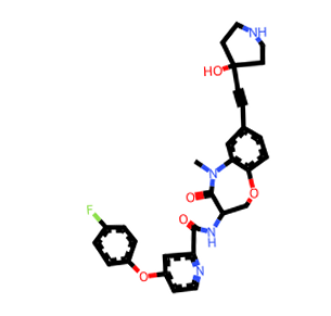 CN1C(=O)C(NC(=O)c2cc(Oc3ccc(F)cc3)ccn2)COc2ccc(C#CC3(O)CCNCC3)cc21